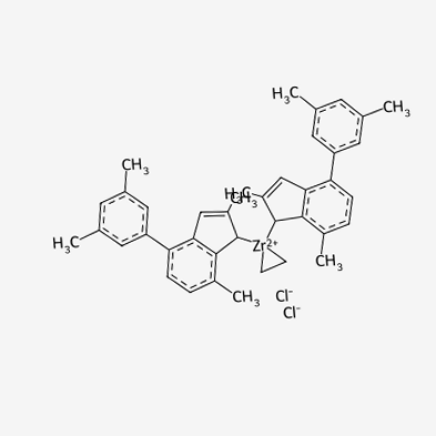 CC1=Cc2c(-c3cc(C)cc(C)c3)ccc(C)c2[CH]1[Zr+2]1([CH]2C(C)=Cc3c(-c4cc(C)cc(C)c4)ccc(C)c32)[CH2][CH2]1.[Cl-].[Cl-]